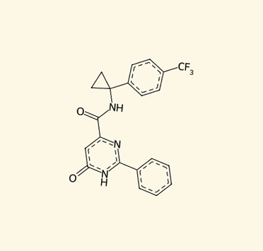 O=C(NC1(c2ccc(C(F)(F)F)cc2)CC1)c1cc(=O)[nH]c(-c2ccccc2)n1